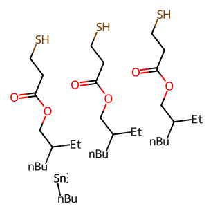 CCCCC(CC)COC(=O)CCS.CCCCC(CC)COC(=O)CCS.CCCCC(CC)COC(=O)CCS.CCC[CH2][Sn]